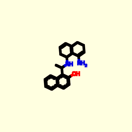 CC(NC1CC=CC2=C1C(N)=CCC2)c1c(O)ccc2ccccc12